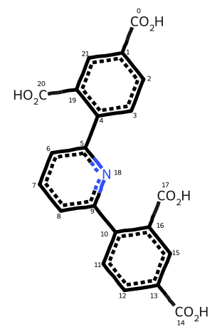 O=C(O)c1ccc(-c2cccc(-c3ccc(C(=O)O)cc3C(=O)O)n2)c(C(=O)O)c1